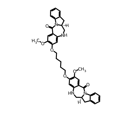 COc1cc2c(cc1OCCCCCOc1cc3c(cc1OC)C(=O)N1c4ccccc4C[C@H]1CN3)NC[C@@H]1Cc3ccccc3N1C2=O